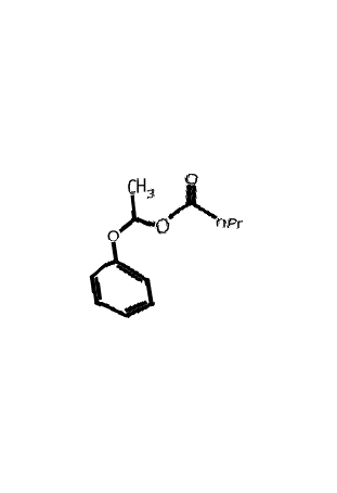 CCCC(=O)OC(C)Oc1ccccc1